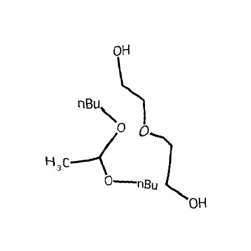 CCCCOC(C)OCCCC.OCCOCCO